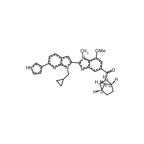 COc1cc(C(=O)N2C[C@H]3CC[C@@H]2[C@@H]3N)cc2nc(-c3cc4ccc(-c5cc[nH]c5)nc4n3CC3CC3)n(C)c12